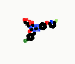 O=c1[nH]/c(=N\c2ccc(Oc3cccc(F)n3)cc2)n(Cc2ccc(Cl)cc2)c(=O)n1C[C@H](O)CO